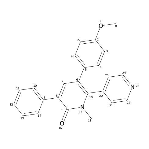 COc1ccc(-c2cc(-c3ccccc3)c(=O)n(C)c2-c2ccncc2)cc1